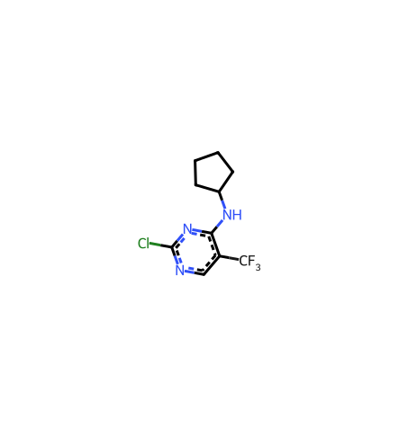 FC(F)(F)c1cnc(Cl)nc1NC1CCCC1